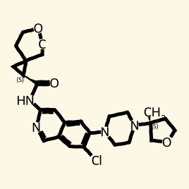 C[C@]1(N2CCN(c3cc4cc(NC(=O)[C@H]5CC56CCOCC6)ncc4cc3Cl)CC2)CCOC1